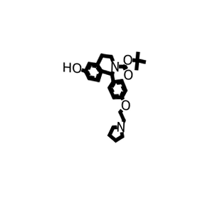 CC(C)(C)OC(=O)N1CCc2cc(O)ccc2C1c1ccc(OCCN2CCCC2)cc1